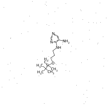 CC(C)(C)[Si](C)(C)OCCCNc1ncncc1N